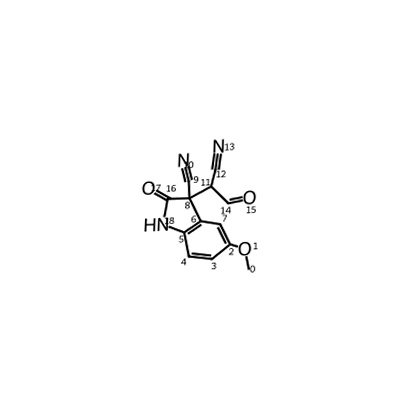 COc1ccc2c(c1)C(C#N)(C(C#N)C=O)C(=O)N2